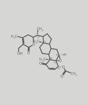 CC(=O)O[C@@H]1C=CC(=O)[C@]2(C)C3CC[C@@]4(C)C(CCC4[C@H](C)C4CC(C)=C(CO)C(=O)O4)C3C[C@H]3O[C@]132